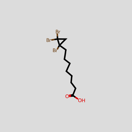 O=C(O)CCCCCCCC1(Br)CC1(Br)Br